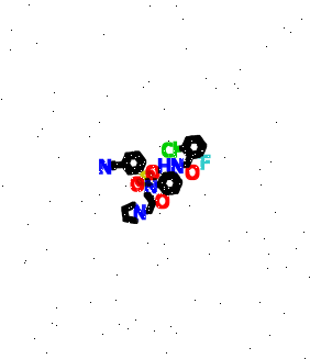 N#Cc1cccc(S(=O)(=O)N2CC(CN3CCCC3)Oc3ccc(NC(=O)c4c(F)cccc4Cl)cc32)c1